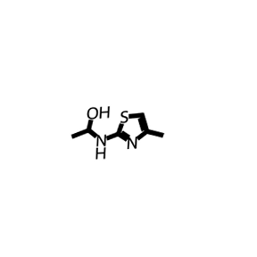 Cc1csc(NC(C)O)n1